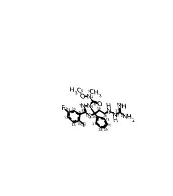 CON(C)C(=O)N1N=C(c2cc(F)ccc2F)SC1(CCNNC(=N)N)c1ccccc1